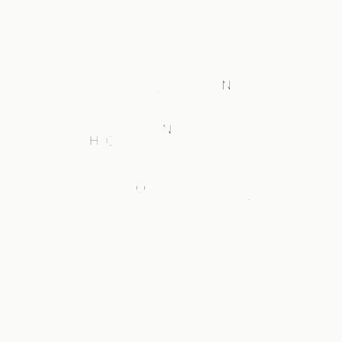 CC(=O)N1CC=NC=C1c1ccccc1